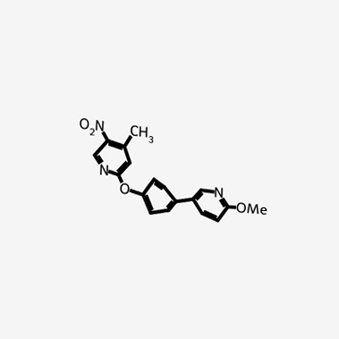 COc1ccc(-c2ccc(Oc3cc(C)c([N+](=O)[O-])cn3)cc2)cn1